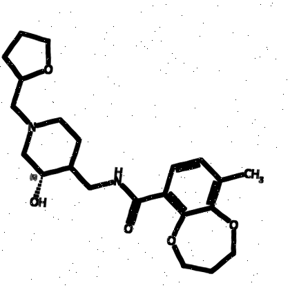 Cc1ccc(C(=O)NCC2CCN(CC3CCCO3)C[C@H]2O)c2c1OCCCO2